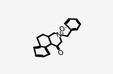 O=C1C[N+]([O-])(Cc2ccccc2)CC2CCc3ccccc3C12